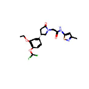 CCOc1cc([C@@H]2CC(=O)N(CC(=O)Nc3cc(C)ns3)C2)ccc1OC(F)F